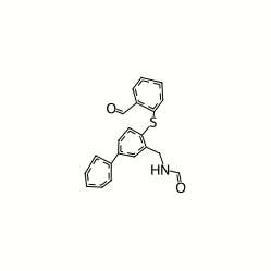 O=CNCc1cc(-c2ccccc2)ccc1Sc1ccccc1C=O